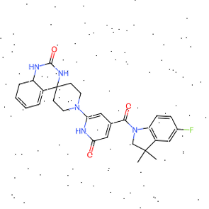 CC1(C)CN(C(=O)c2cc(N3CCC4(CC3)NC(=O)NC3CC=CC=C34)[nH]c(=O)c2)c2ccc(F)cc21